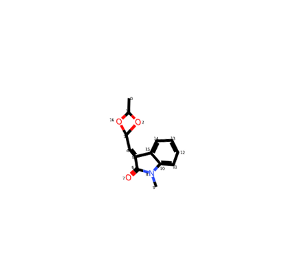 CC1OC(/C=C2/C(=O)N(C)c3ccccc32)O1